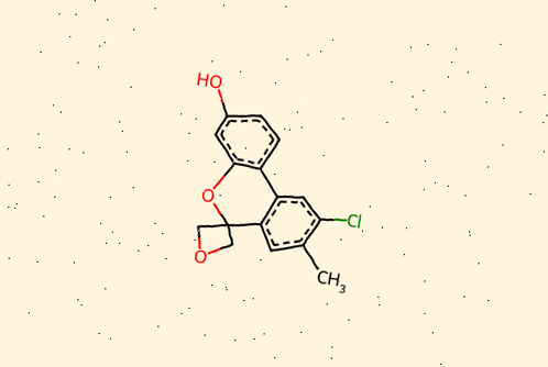 Cc1cc2c(cc1Cl)-c1ccc(O)cc1OC21COC1